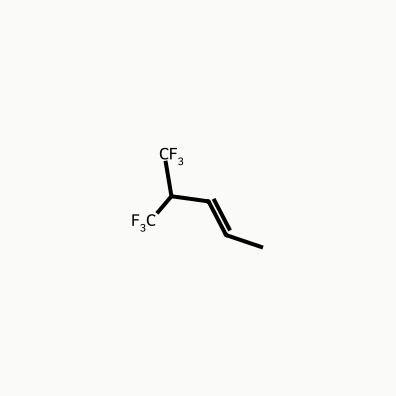 CC=CC(C(F)(F)F)C(F)(F)F